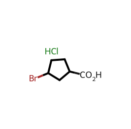 Cl.O=C(O)C1CCC(Br)C1